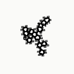 C1=CC2=Cc3c(sc4cc(-c5c6ccccc6c(-c6cccc7oc8cc9ccccc9cc8c67)c6cc(-c7ccc(-c8ccccc8)c8ccccc78)ccc56)ccc34)CC2C=C1